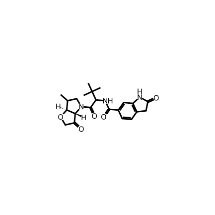 CC1CN(C(=O)C(NC(=O)c2ccc3c(c2)NC(=O)C3)C(C)(C)C)[C@@H]2C(=O)CO[C@@H]12